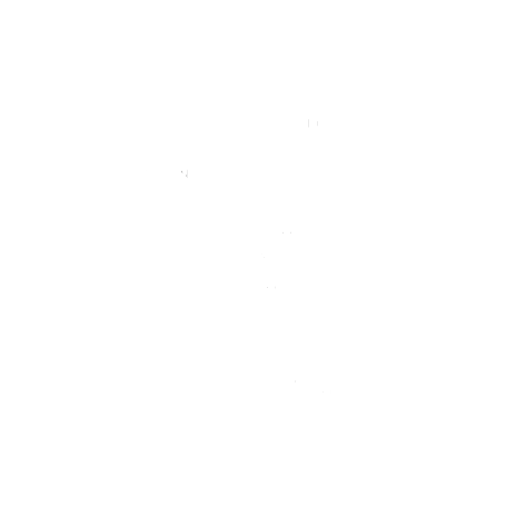 CCC(=O)OCC(CCCCCC(CC)CC)OC(=O)CCCN(C)C